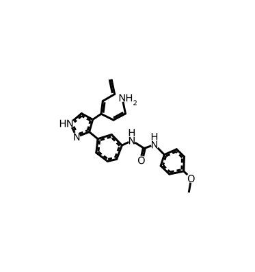 C=C/C=C(\C=C/N)c1c[nH]nc1-c1cccc(NC(=O)Nc2ccc(OC)cc2)c1